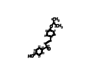 CC(C)Oc1ccc(/C=C/C(=O)c2ccc(O)cc2)cc1